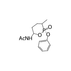 CC(=O)NC1CCC(C)P(=O)(Oc2ccccc2)O1